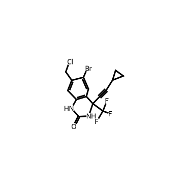 O=C1Nc2cc(CCl)c(Br)cc2C(C#CC2CC2)(C(F)(F)F)N1